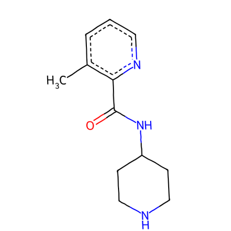 Cc1cccnc1C(=O)NC1CCNCC1